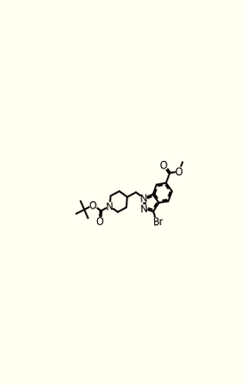 COC(=O)c1ccc2c(Br)nn(CC3CCN(C(=O)OC(C)(C)C)CC3)c2c1